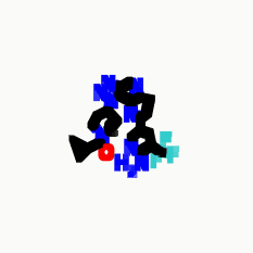 Nc1ncc(-c2ccc3ncc4nnn(C5CCN(C(=O)C6CC6)CC5)c4c3n2)cc1C(F)(F)F